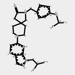 O=C1CC2(CCN(c3cnc4cnn(CC(F)F)c4n3)CC2)CN1Cc1ccc(OC(F)F)cc1